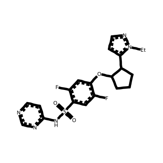 CCn1nccc1C1CCCC1Oc1cc(F)c(S(=O)(=O)Nc2ccncn2)cc1F